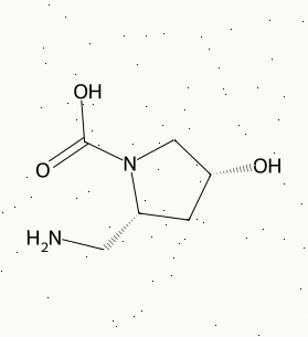 NC[C@H]1C[C@@H](O)CN1C(=O)O